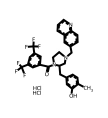 Cc1ccc(CC2CN(Cc3ccc4ncccc4c3)CCN2C(=O)c2cc(C(F)(F)F)cc(C(F)(F)F)c2)cc1O.Cl.Cl